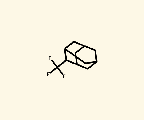 FC(F)(F)C1C2CC3CC(C2)CC1C3